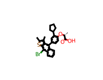 Cc1sc2c(Br)c3ccccc3c(-c3ccc(O[C@H](C)C(=O)O)c(C4CCCC4)c3)c2c1C